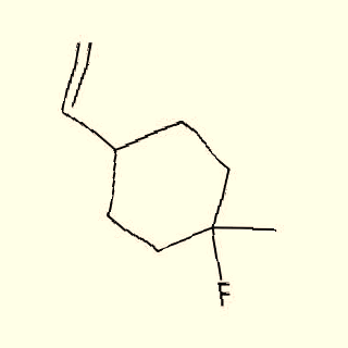 C=CC1CCC(C)(F)CC1